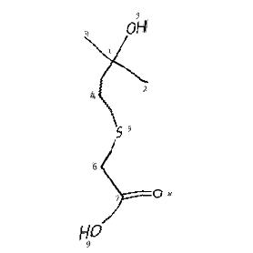 CC(C)(O)CSCC(=O)O